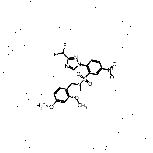 COc1ccc(CNS(=O)(=O)c2cc([N+](=O)[O-])ccc2-n2cnc(C(F)F)n2)c(OC)c1